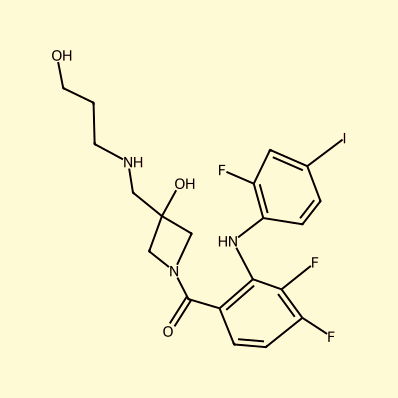 O=C(c1ccc(F)c(F)c1Nc1ccc(I)cc1F)N1CC(O)(CNCCCO)C1